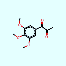 COc1cc(C(=O)C(C)=O)cc(OC)c1OC